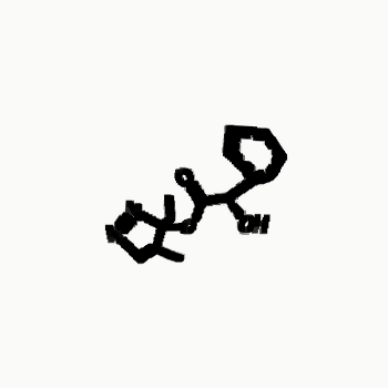 CC1=CN=NC1(C)OC(=O)[C@H](O)c1ccccc1